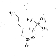 CCCCO[Si](=O)[O-].C[N+](C)(C)C